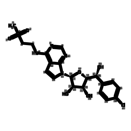 CS(=O)(=O)CCNc1ncnc2c1ccn2[C@@H]1O[C@H]([C@H](O)c2ccc(Cl)cc2)[C@@H](O)[C@H]1O